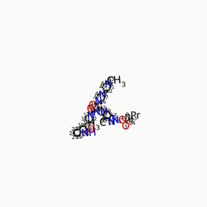 CCCC1(C(=O)OCn2cc3cc(C[C@@H](NC(=O)N4CCC(c5cc6ccccc6[nH]c5=O)CC4)C(=O)N4CCN(C5CCN(C)CC5)CC4)cc(C)c3n2)CC1